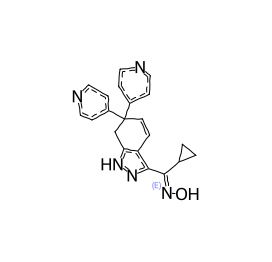 O/N=C(/c1n[nH]c2c1C=CC(c1ccncc1)(c1ccncc1)C2)C1CC1